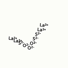 [La+3].[La+3].[La+3].[La+3].[O-2].[O-2].[O-2].[S-2].[S-2].[S-2]